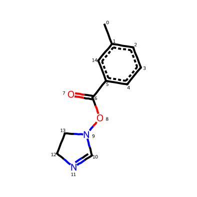 Cc1cccc(C(=O)ON2C=NCC2)c1